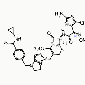 CO/N=C(\C(=O)N[C@@H]1C(=O)N2C(C(=O)[O-])=C(C[n+]3ccc4n3CCN4Cc3ccc(C(=N)NC4CC4)cc3)CS[C@H]12)c1nc(N)sc1Cl